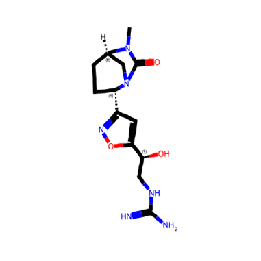 CN1C(=O)N2C[C@H]1CC[C@H]2c1cc([C@@H](O)CNC(=N)N)on1